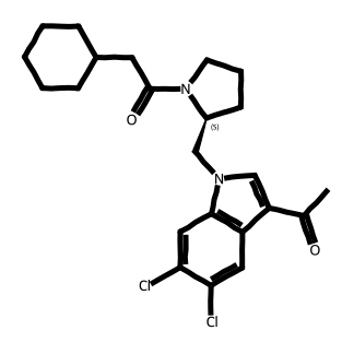 CC(=O)c1cn(C[C@@H]2CCCN2C(=O)CC2CCCCC2)c2cc(Cl)c(Cl)cc12